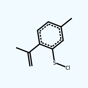 C=C(C)c1ccc(C)cc1SCl